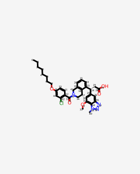 CCCCCCCCOc1ccc(C(=O)N2CCc3c(cccc3[C@H](CC(=O)O)c3cc(OC)c4c(c3)nnn4C)C2)c(Cl)c1